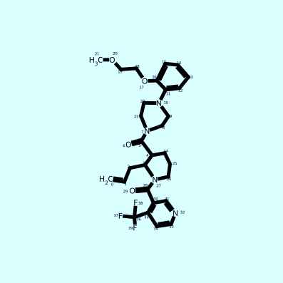 C=CCC1C(C(=O)N2CCN(c3ccccc3OCCOC)CC2)CCCN1C(=O)c1cnccc1C(F)(F)F